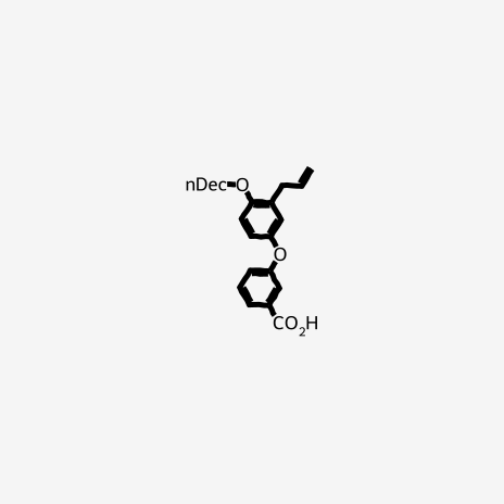 C=CCc1cc(Oc2cccc(C(=O)O)c2)ccc1OCCCCCCCCCC